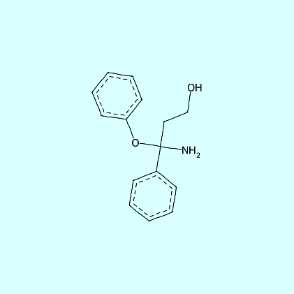 NC(CCO)(Oc1ccccc1)c1ccccc1